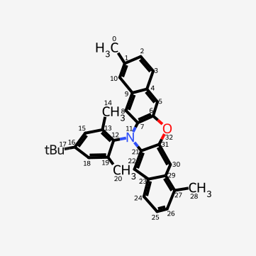 Cc1ccc2cc3c(cc2c1)N(c1c(C)cc(C(C)(C)C)cc1C)c1cc2cccc(C)c2cc1O3